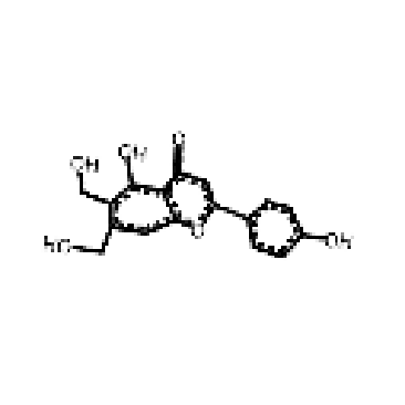 O=c1cc(-c2ccc(O)cc2)oc2cc(CO)c(CO)c(O)c12